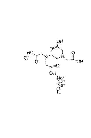 O=C(O)CN(CCN(CC(=O)O)CC(=O)O)CC(=O)O.[Cl-].[Cl-].[Cl-].[Na+].[Na+].[Na+]